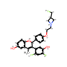 CC1=C(c2cc(O)c(F)cc2F)C(c2ccc(OCCN3CC(CF)C3)cc2)Oc2ccc(O)cc21